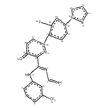 N=C/C=C(\Nc1cccc(C(F)(F)F)c1)c1nn(-c2ccc(-n3cccn3)cc2F)ccc1=O